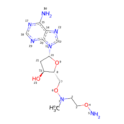 CN(CCON)OC[C@H]1O[C@@H](n2cnc3c(N)ncnc32)C[C@@H]1O